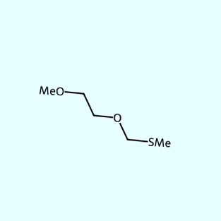 COCCOCSC